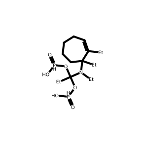 CCC1=CCCCCC1(CC)N(CC)C(CC)(O[PH](=O)O)O[PH](=O)O